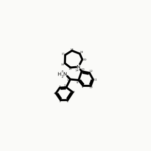 NC(c1ccccc1)c1ccccc1N1CCCCCC1